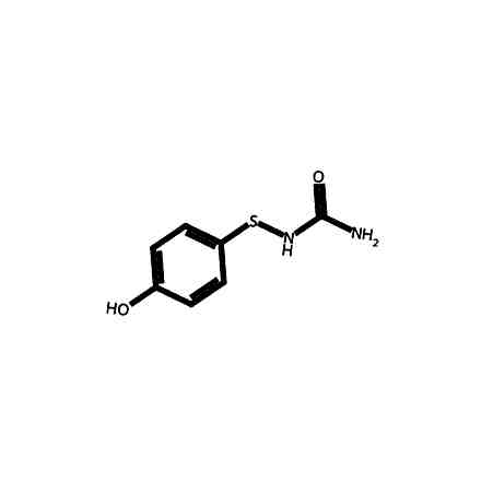 NC(=O)NSc1ccc(O)cc1